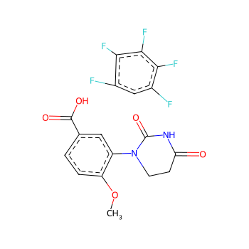 COc1ccc(C(=O)O)cc1N1CCC(=O)NC1=O.Fc1cc(F)c(F)c(F)c1F